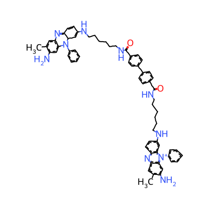 Cc1cc2c(cc1N)N(c1ccccc1)C1C=C(NCCCCCCNC(=O)c3ccc(-c4ccc(C(=O)NCCCCCCNc5ccc6nc7cc(C)c(N)cc7[n+](-c7ccccc7)c6c5)cc4)cc3)C=CC1=N2